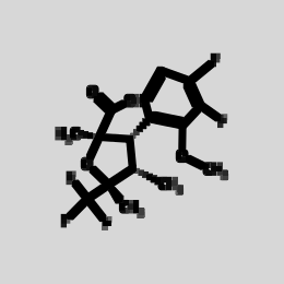 COc1c([C@@H]2[C@H](C)[C@](C)(C(F)(F)F)O[C@@]2(C)C(=O)O)ccc(F)c1F